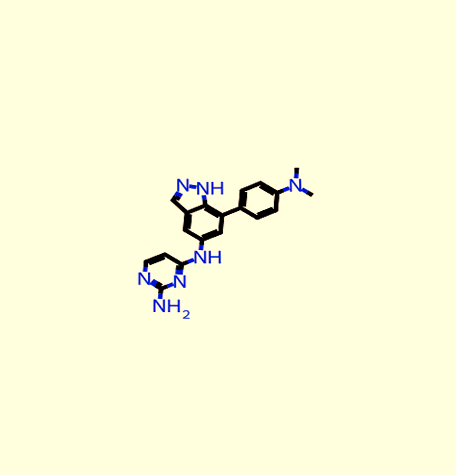 CN(C)c1ccc(-c2cc(Nc3ccnc(N)n3)cc3cn[nH]c23)cc1